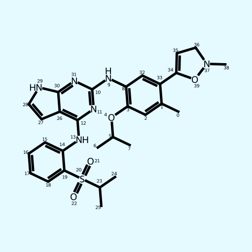 Cc1cc(OC(C)C)c(Nc2nc(Nc3ccccc3S(=O)(=O)C(C)C)c3cc[nH]c3n2)cc1C1=CCN(C)O1